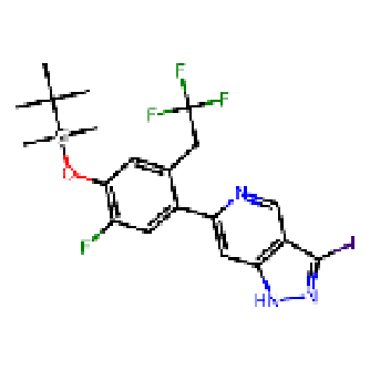 CC(C)(C)[Si](C)(C)Oc1cc(CC(F)(F)F)c(-c2cc3[nH]nc(I)c3cn2)cc1F